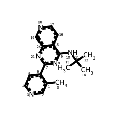 Cc1cnccc1-c1nc(NC(C)(C)C)c2ccncc2n1